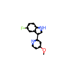 COc1ccnc(-c2c[nH]c3ccc(F)cc23)c1